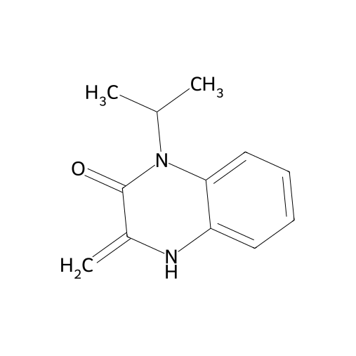 C=C1Nc2ccccc2N(C(C)C)C1=O